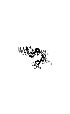 CC(=O)N1CCC(c2cc3c(NC(C)c4cccc(C(F)(F)C5CN(C(=O)OC(C)(C)C)CCO5)c4F)ncnc3n(C)c2=O)CC1